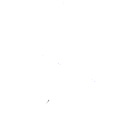 CCC1CCC(c2nc3ccc(C[C@H]4CCOC4)cc3n2CCC(=O)N(CC)C2CCCCC2)CC1